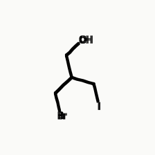 OCC(CBr)CI